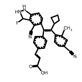 Cc1cc(C#N)ccc1/C(=C(\c1ccc(/C=C/C(=O)O)cc1)c1ccc2c(c1C#N)C(F)NN2)C1CCC1